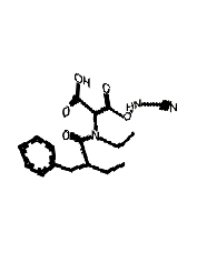 CCC(Cc1ccccc1)C(=O)N(CC)C(C(=O)O)C(=O)ONC#N